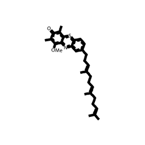 COc1c2nc3cc(CC/C=C(\C)CC/C=C(\C)CCC=C(C)C)ccc3sc-2c(C)c(=O)c1C